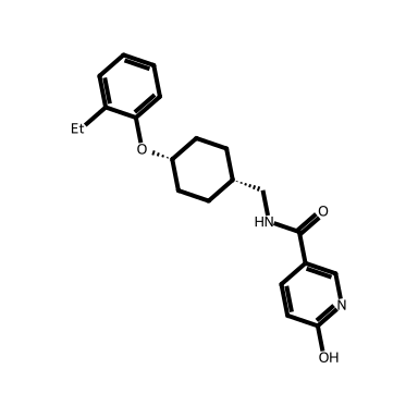 CCc1ccccc1O[C@H]1CC[C@@H](CNC(=O)c2ccc(O)nc2)CC1